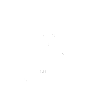 Cc1cc(Nc2ccc(CN(c3ncc4cc(F)ccc4n3)C3CCN(Cc4ccccc4)CC3)cc2)ccn1